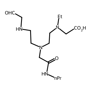 CCCNC(=O)CN(CCNCC=O)CCN(CC)CC(=O)O